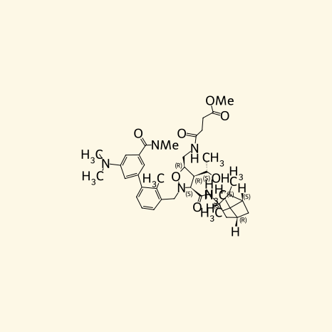 CNC(=O)c1cc(-c2cccc(CN3O[C@@H](CNC(=O)CCC(=O)OC)[C@@H]([C@H](C)O)[C@H]3C(=O)N[C@H]3C[C@H]4C[C@@H]([C@@H]3C)C4(C)C)c2C)cc(N(C)C)c1